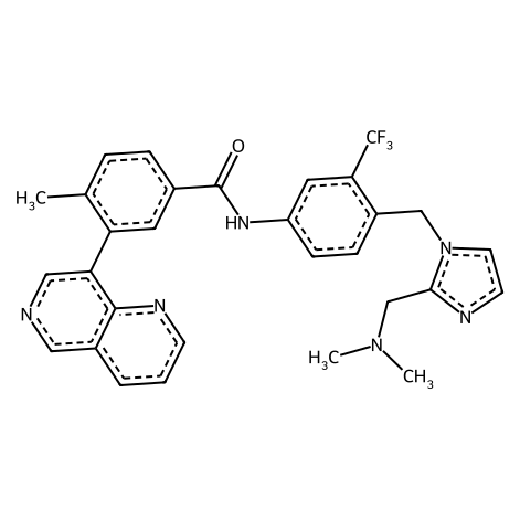 Cc1ccc(C(=O)Nc2ccc(Cn3ccnc3CN(C)C)c(C(F)(F)F)c2)cc1-c1cncc2cccnc12